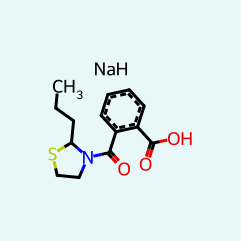 CCCC1SCCN1C(=O)c1ccccc1C(=O)O.[NaH]